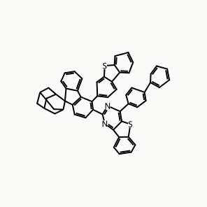 c1ccc(-c2ccc(-c3nc(-c4ccc5c(c4-c4ccc6c(c4)sc4ccccc46)-c4ccccc4C54C5CC6CC(C5)CC4C6)nc4c3sc3ccccc34)cc2)cc1